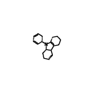 C1=CCC(N2C3=C(CCCC3)C3C=CCCC32)C=C1